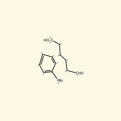 CC(C)(C)c1ccccc1.O=CCCCCC(=O)O